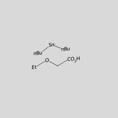 CCC[CH2][Sn][CH2]CCC.CCOCC(=O)O